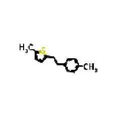 Cc1ccc(CCc2ccc(C)s2)cc1